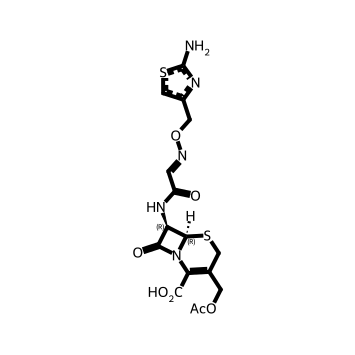 CC(=O)OCC1=C(C(=O)O)N2C(=O)[C@@H](NC(=O)C=NOCc3csc(N)n3)[C@H]2SC1